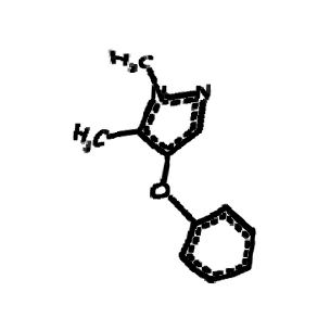 Cc1c(Oc2ccccc2)cnn1C